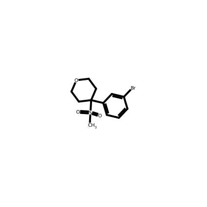 CS(=O)(=O)C1(c2cccc(Br)c2)CCOCC1